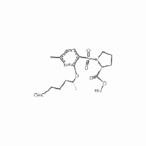 Cc1ccc(S(=O)(=O)N2CCC[C@H]2C(=O)OC(C)(C)C)c(O[C@H](C)CCCC=O)n1